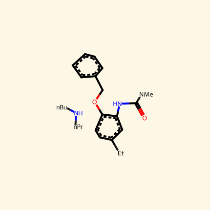 CCCCNCCC.CCc1ccc(OCc2ccccc2)c(NC(=O)NC)c1